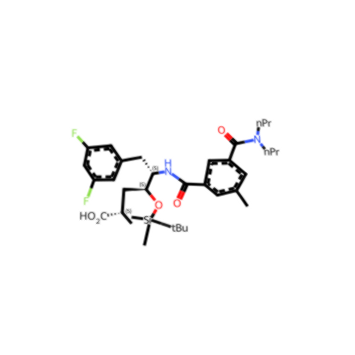 CCCN(CCC)C(=O)c1cc(C)cc(C(=O)N[C@@H](Cc2cc(F)cc(F)c2)[C@H](C[C@H](C)C(=O)O)O[Si](C)(C)C(C)(C)C)c1